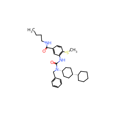 CCCCNC(=O)c1ccc(SC)c(NC(=O)N(Cc2ccccc2)[C@H]2CC[C@@H](C3CCCCC3)CC2)c1